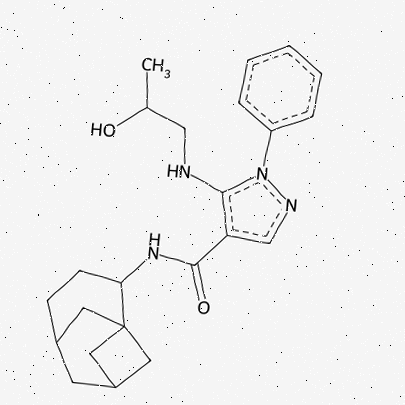 CC(O)CNc1c(C(=O)NC2CCC3CC4CC2(C3)C4)cnn1-c1ccccc1